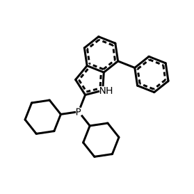 c1ccc(-c2cccc3cc(P(C4CCCCC4)C4CCCCC4)[nH]c23)cc1